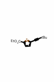 CCOC(=O)c1ccc(C#CC(C)(C)C)s1